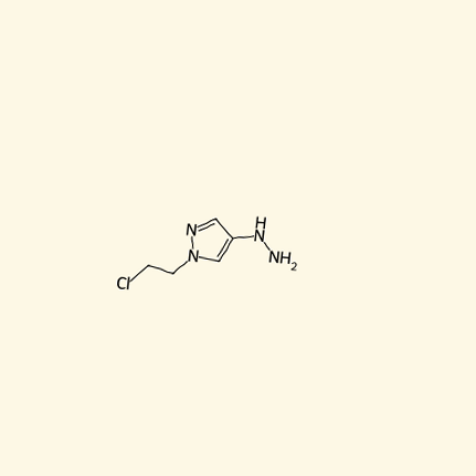 NNc1cnn(CCCl)c1